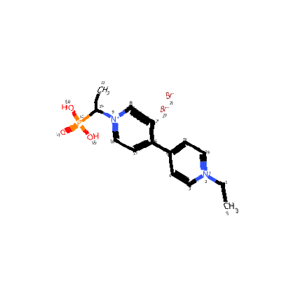 CC[n+]1ccc(-c2cc[n+](C(C)P(=O)(O)O)cc2)cc1.[Br-].[Br-]